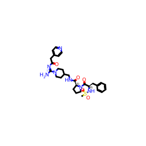 CS(=O)(=O)N[C@H](Cc1ccccc1)C(=O)N1CCC[C@H]1C(=O)NCC1CCN(/C(N)=N\C(=O)Cc2ccncc2)CC1